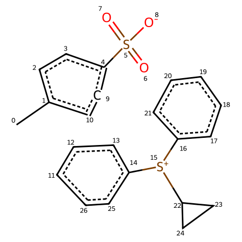 Cc1ccc(S(=O)(=O)[O-])cc1.c1ccc([S+](c2ccccc2)C2CC2)cc1